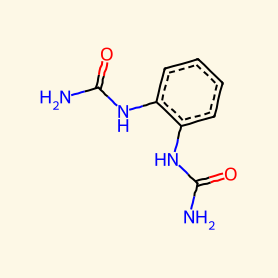 NC(=O)Nc1ccccc1NC(N)=O